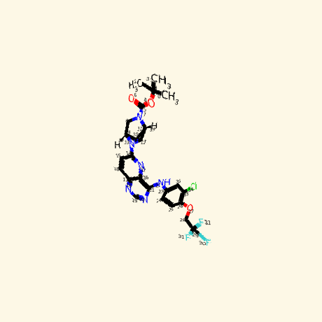 CC(C)(C)OC(=O)N1C[C@@H]2C[C@H]1CN2c1ccc2ncnc(Nc3ccc(OCC(F)(F)F)c(Cl)c3)c2n1